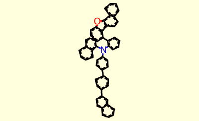 c1ccc(N(c2ccc(-c3ccc(-c4ccc5ccccc5c4)cc3)cc2)c2cccc3ccccc23)c(-c2cccc3oc4c5ccccc5ccc4c23)c1